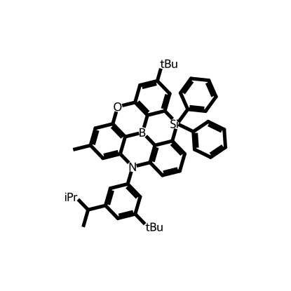 Cc1cc2c3c(c1)N(c1cc(C(C)C(C)C)cc(C(C)(C)C)c1)c1cccc4c1B3c1c(cc(C(C)(C)C)cc1[Si]4(c1ccccc1)c1ccccc1)O2